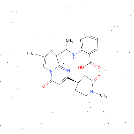 Cc1cc([C@H](C)Nc2ccccc2C(=O)O)c2nc([C@@H]3CCN(C)C(=O)C3)cc(=O)n2c1